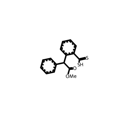 COC(=O)C(c1ccccc1)c1ccccc1C(=S)S